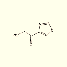 N#CCC(=O)c1cocn1